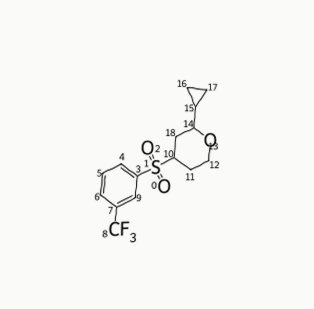 O=S(=O)(c1cccc(C(F)(F)F)c1)C1CCOC(C2CC2)C1